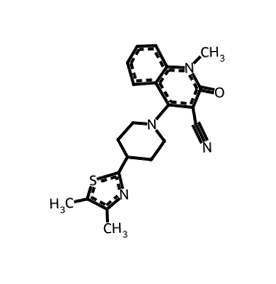 Cc1nc(C2CCN(c3c(C#N)c(=O)n(C)c4ccccc34)CC2)sc1C